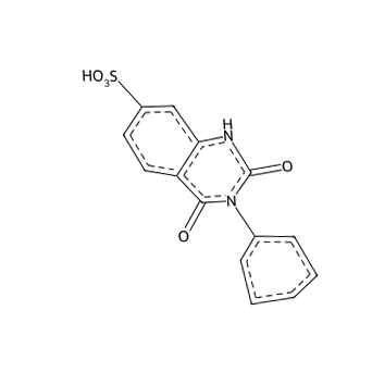 O=c1[nH]c2cc(S(=O)(=O)O)ccc2c(=O)n1-c1ccccc1